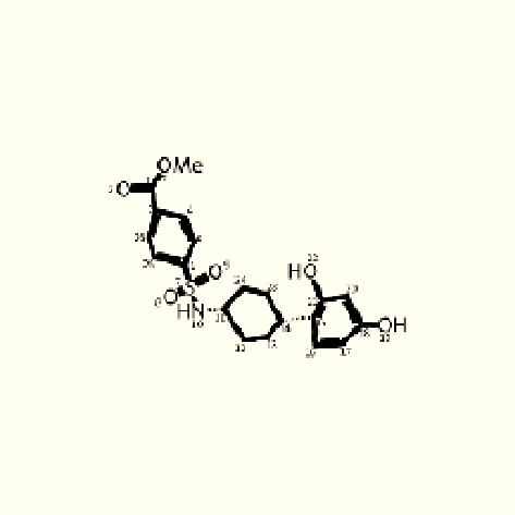 COC(=O)c1ccc(S(=O)(=O)N[C@H]2CC[C@@H](c3ccc(O)cc3O)CC2)cc1